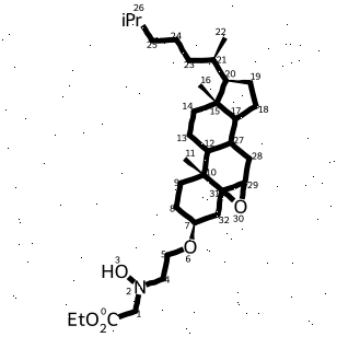 CCOC(=O)CN(O)CCO[C@H]1CC[C@]2(C)C3CC[C@@]4(C)C(CC[C@@H]4[C@H](C)CCCC(C)C)C3CC3OC32C1